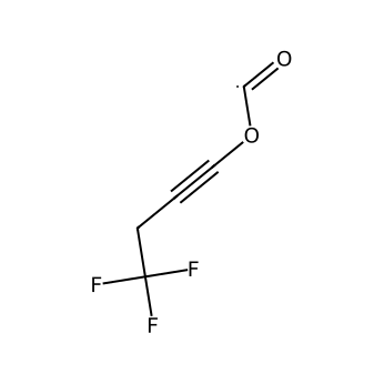 O=[C]OC#CCC(F)(F)F